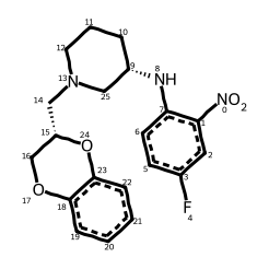 O=[N+]([O-])c1cc(F)ccc1N[C@H]1CCCN(C[C@H]2COc3ccccc3O2)C1